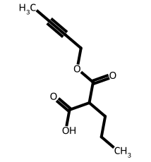 CC#CCOC(=O)C(CCC)C(=O)O